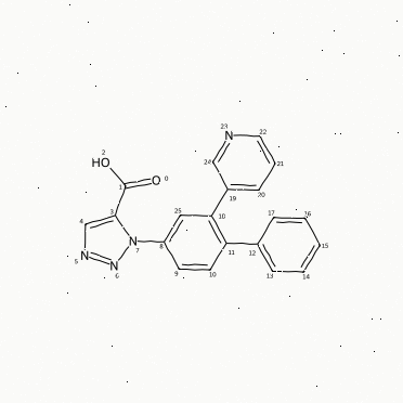 O=C(O)c1cnnn1-c1ccc(-c2ccccc2)c(-c2cccnc2)c1